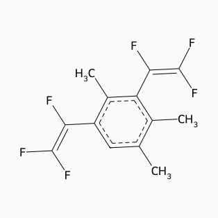 Cc1cc(C(F)=C(F)F)c(C)c(C(F)=C(F)F)c1C